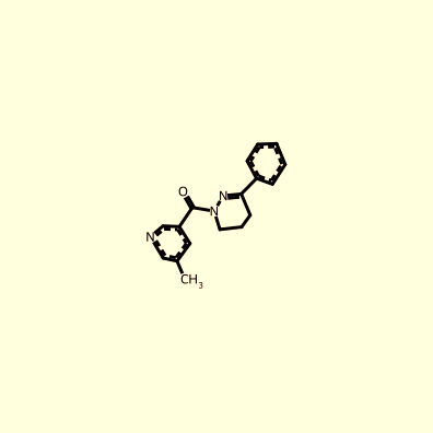 Cc1cncc(C(=O)N2CCCC(c3ccccc3)=N2)c1